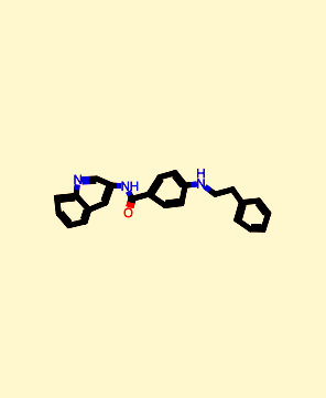 O=C(Nc1cnc2ccccc2c1)c1ccc(NCCc2ccccc2)cc1